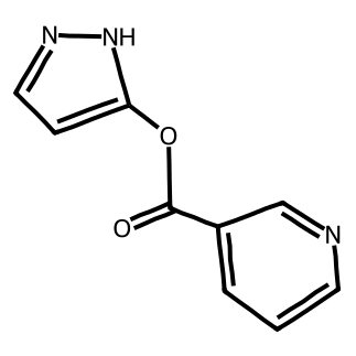 O=C(Oc1ccn[nH]1)c1cccnc1